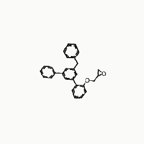 c1ccc(Cc2cc(-c3ccccc3)cc(-c3ccccc3OCC3CO3)c2)cc1